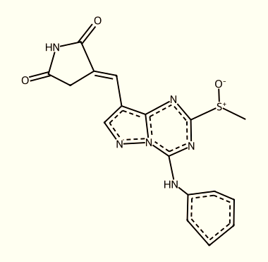 C[S+]([O-])c1nc(Nc2ccccc2)n2ncc(C=C3CC(=O)NC3=O)c2n1